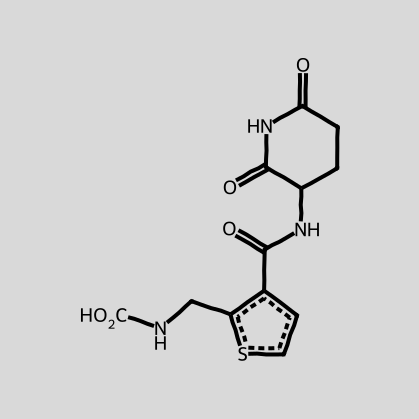 O=C(O)NCc1sccc1C(=O)NC1CCC(=O)NC1=O